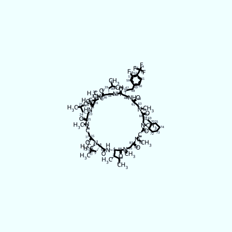 CC[C@H](C)[C@@H]1NC(=O)[C@H](CC(C)C)N(C)C(=O)CCN(C)C(=O)[C@H](CC(C)C)NC(=O)C(C)(C)N(C)C(=O)[C@H](CC(C)C)NC(=O)[C@H](CCc2ccc(C(F)(F)F)c(F)c2)NC(=O)CN(C)C(=O)[C@H](CC2CCCCC2)N(C)C(=O)CN(C)C(=O)CN(C)C1=O